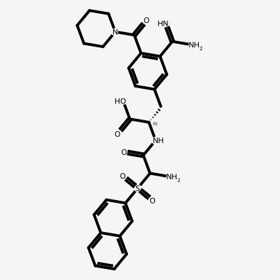 N=C(N)c1cc(C[C@H](NC(=O)C(N)S(=O)(=O)c2ccc3ccccc3c2)C(=O)O)ccc1C(=O)N1CCCCC1